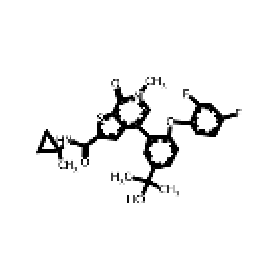 Cn1cc(-c2cc(C(C)(C)O)ccc2Oc2ccc(F)cc2F)c2cc(C(=O)NC3(C)CC3)sc2c1=O